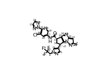 C[C@]1(c2cnn(CC(F)(F)F)c2)C[C@@H](C(=O)Nc2cnc(-n3nccn3)c(Cl)c2)c2cnc3cc(F)nn3c21